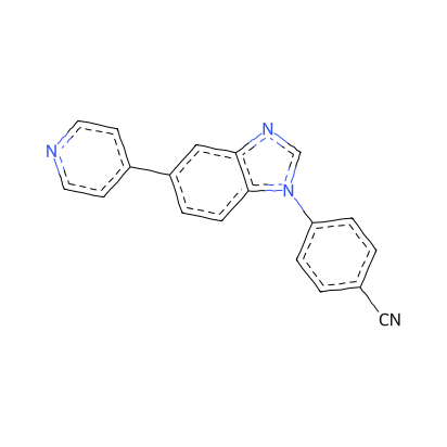 N#Cc1ccc(-n2cnc3cc(-c4ccncc4)ccc32)cc1